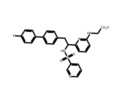 O=C(O)CNc1cccc(C(Cc2ccc(-c3ccc(F)cc3)cc2)NS(=O)(=O)c2cccnc2)n1